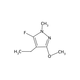 CCc1c(OC)nn(C)c1F